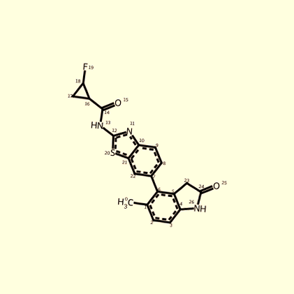 Cc1ccc2c(c1-c1ccc3nc(NC(=O)C4CC4F)sc3c1)CC(=O)N2